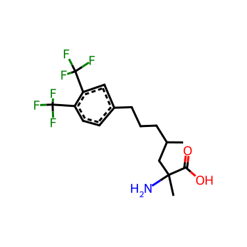 CC(CCCc1ccc(C(F)(F)F)c(C(F)(F)F)c1)CC(C)(N)C(=O)O